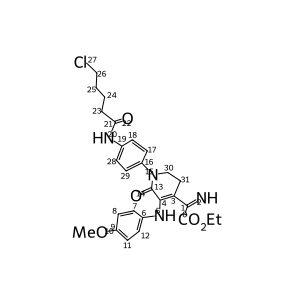 CCOC(=O)C(=N)C1=C(Nc2ccc(OC)cc2)C(=O)N(c2ccc(NC(=O)CCCCCl)cc2)CC1